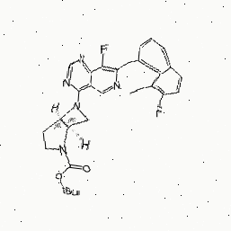 Cc1c(F)ccc2cccc(-c3ncc4c(N5C[C@@H]6[C@H]5CCN6C(=O)OC(C)(C)C)ncnc4c3F)c12